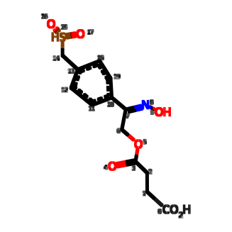 O=C(O)CCC(=O)OCC(=NO)c1ccc(C[SH](=O)=O)cc1